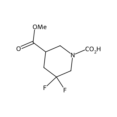 COC(=O)C1CN(C(=O)O)CC(F)(F)C1